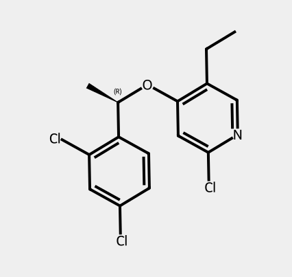 CCc1cnc(Cl)cc1O[C@H](C)c1ccc(Cl)cc1Cl